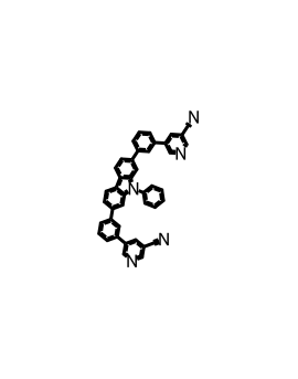 N#Cc1cncc(-c2cccc(-c3ccc4c5ccc(-c6cccc(-c7cncc(C#N)c7)c6)cc5n(-c5ccccc5)c4c3)c2)c1